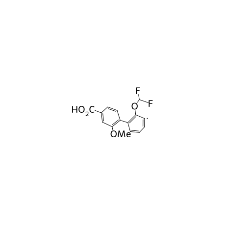 COc1cc(C(=O)O)ccc1-c1ccc[c]c1OC(F)F